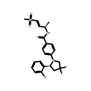 C[C@H](/C=C/S(C)(=O)=O)NC(=O)c1ccc(N2CC(F)(F)C[C@H]2c2ccccc2Cl)cc1